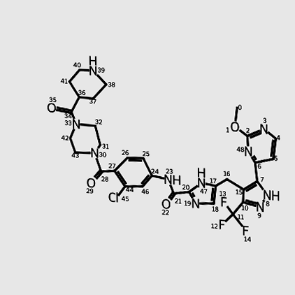 COc1nccc(-c2[nH]nc(C(F)(F)F)c2Cc2cnc(C(=O)Nc3ccc(C(=O)N4CCN(C(=O)C5CCNCC5)CC4)c(Cl)c3)[nH]2)n1